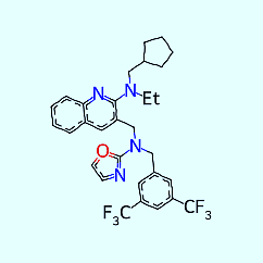 CCN(CC1CCCC1)c1nc2ccccc2cc1CN(Cc1cc(C(F)(F)F)cc(C(F)(F)F)c1)c1ncco1